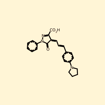 O=C(O)C1=NN(c2ccccc2)C(=O)/C1=C\C=C\c1ccc(N2CCCC2)cc1